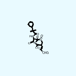 CC(C)(C(=O)NC1C(=O)N2C(C(=O)O)=C(C=CC=O)C[S+]([O-])[C@@H]12)c1ccccc1